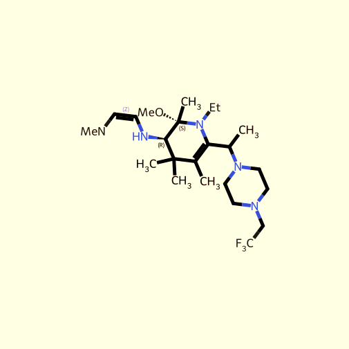 CCN1C(C(C)N2CCN(CC(F)(F)F)CC2)=C(C)C(C)(C)[C@@H](N/C=C\NC)[C@]1(C)OC